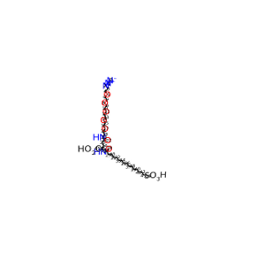 [N-]=[N+]=NCCOCCOCCOCCOCCOCCNC(=O)CC[C@H](NC(=O)CCCCCCCCCCCCCCCS(=O)(=O)O)C(=O)O